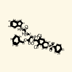 O=C(NC[C@H](NC(=O)c1c(Cl)cc2c(c1Cl)CCN(S(=O)(=O)c1ccccc1)C2)C(=O)OCc1ccccc1)N[C@@H]1CCc2ccccc21